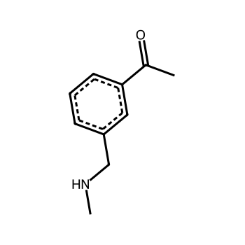 CNCc1cccc(C(C)=O)c1